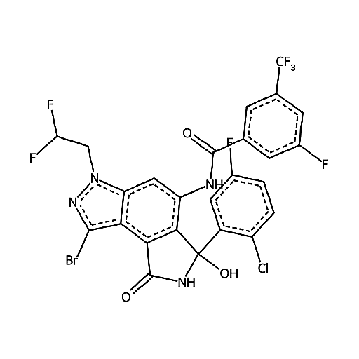 O=C(Nc1cc2c(c(Br)nn2CC(F)F)c2c1C(O)(c1cc(F)ccc1Cl)NC2=O)c1cc(F)cc(C(F)(F)F)c1